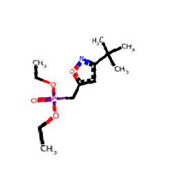 CCOP(=O)(Cc1cc(C(C)(C)C)no1)OCC